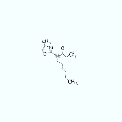 CCCCCCN(C(=O)CC)c1nc(C)co1